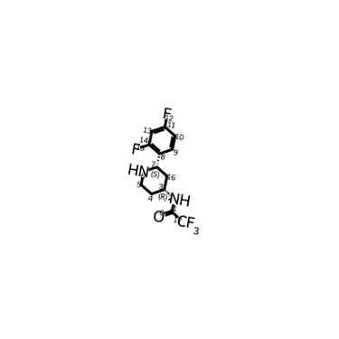 O=C(N[C@@H]1CCN[C@H](c2ccc(F)cc2F)C1)C(F)(F)F